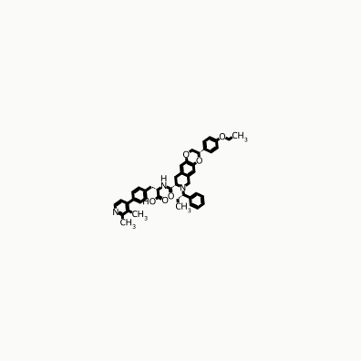 CCOc1ccc([C@H]2COc3cc4c(cc3O2)CN([C@@H](CC)c2ccccc2)[C@H](C(=O)N[C@@H](Cc2ccc(-c3ccnc(C)c3C)cc2)C(=O)O)C4)cc1